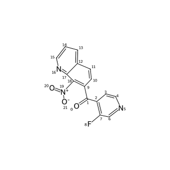 O=C(c1ccncc1F)c1ccc2cccnc2c1[N+](=O)[O-]